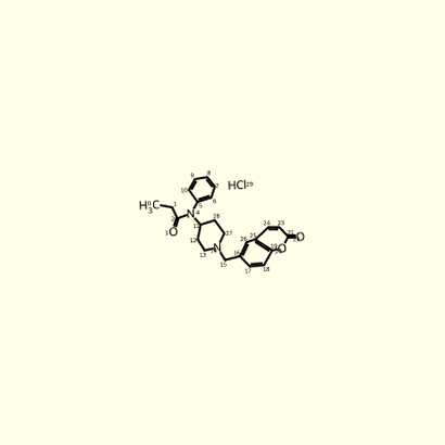 CCC(=O)N(c1ccccc1)C1CCN(Cc2ccc3oc(=O)ccc3c2)CC1.Cl